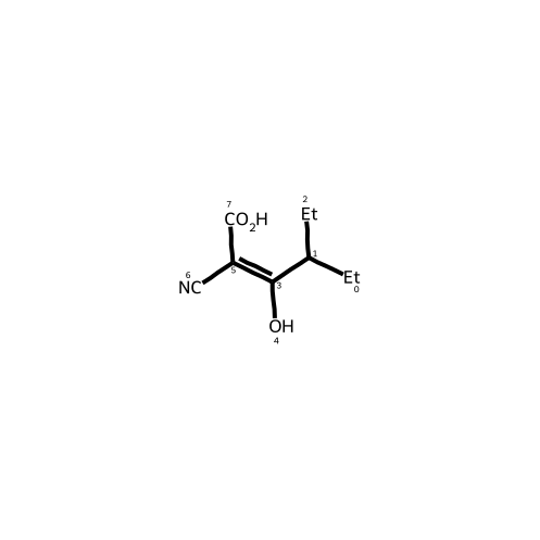 CCC(CC)C(O)=C(C#N)C(=O)O